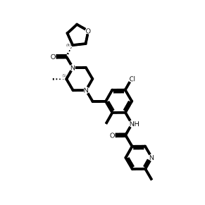 Cc1ccc(C(=O)Nc2cc(Cl)cc(CN3CCN(C(=O)[C@@H]4CCOC4)[C@@H](C)C3)c2C)cn1